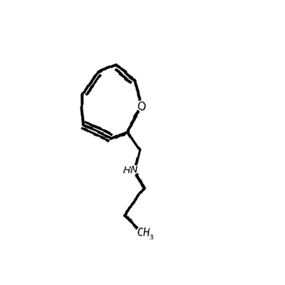 CCCNCC1C#C/C=C\C=C/O1